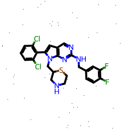 Fc1ccc(CNc2ncc3cc(-c4c(Cl)cccc4Cl)n(CC4CNCCS4)c3n2)cc1F